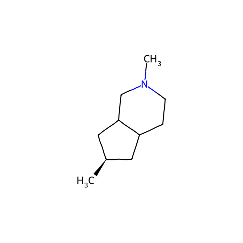 C[C@@H]1CC2CCN(C)CC2C1